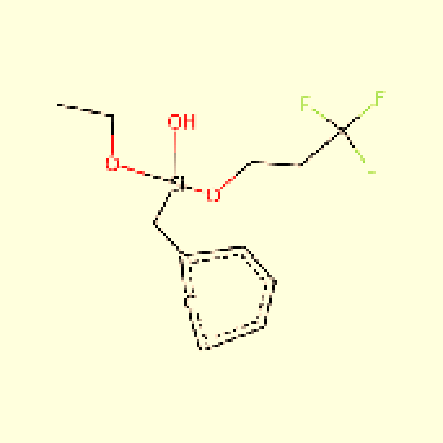 CCO[Si](O)(Cc1ccccc1)OCCC(F)(F)F